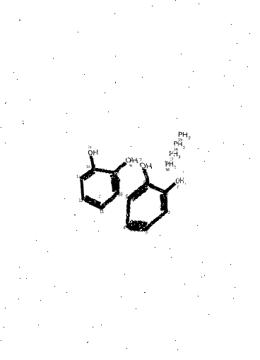 Oc1ccccc1O.Oc1ccccc1O.P.P.P.P